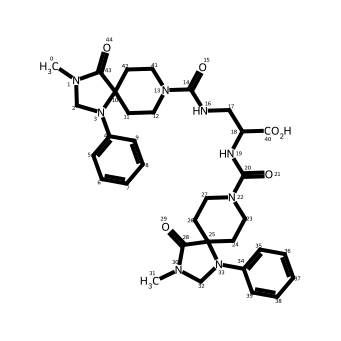 CN1CN(c2ccccc2)C2(CCN(C(=O)NCC(NC(=O)N3CCC4(CC3)C(=O)N(C)CN4c3ccccc3)C(=O)O)CC2)C1=O